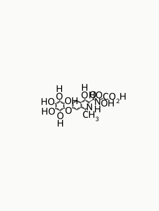 Cc1nc(C(=O)NC(O)(O)C(=O)O)c(O)c2ccc(Oc3c(O)c(O)c(O)c(O)c3O)cc12